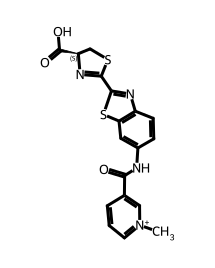 C[n+]1cccc(C(=O)Nc2ccc3nc(C4=N[C@@H](C(=O)O)CS4)sc3c2)c1